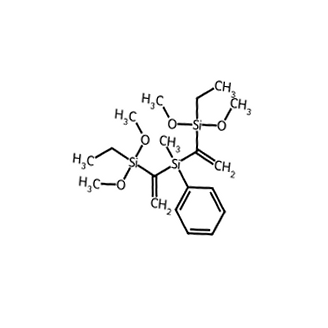 C=C([Si](CC)(OC)OC)[Si](C)(C(=C)[Si](CC)(OC)OC)c1ccccc1